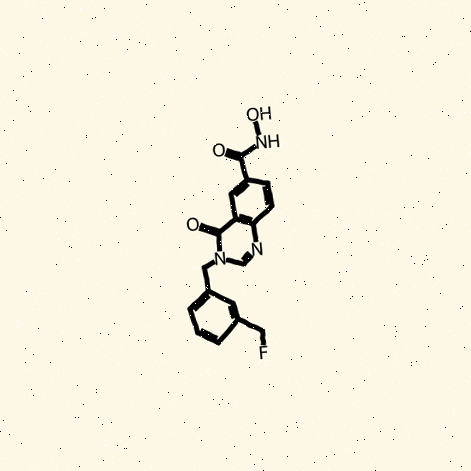 O=C(NO)c1ccc2ncn(Cc3cccc(CF)c3)c(=O)c2c1